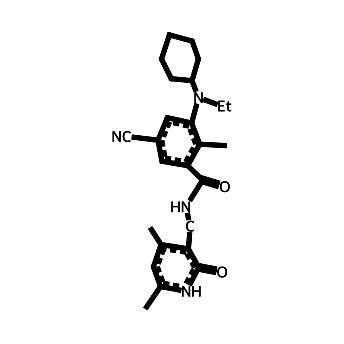 CCN(c1cc(C#N)cc(C(=O)NCc2c(C)cc(C)[nH]c2=O)c1C)C1CCCCC1